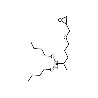 CCCCO[SiH](OCCCC)C(C)CCCOCC1CO1